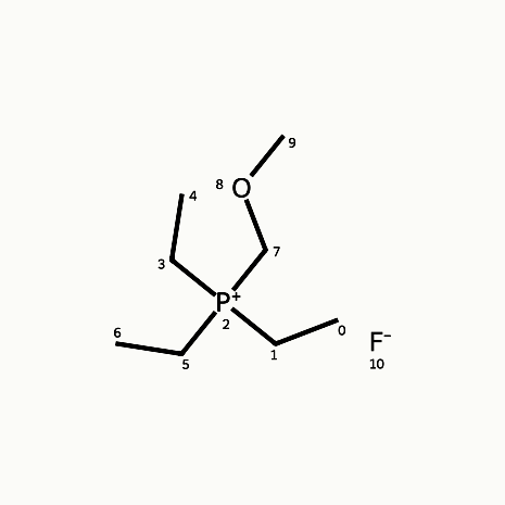 CC[P+](CC)(CC)COC.[F-]